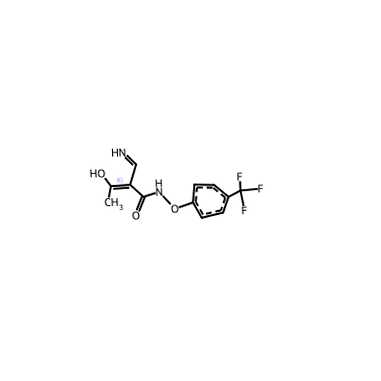 C/C(O)=C(/C=N)C(=O)NOc1ccc(C(F)(F)F)cc1